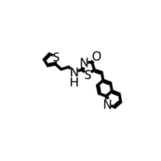 O=C1N=C(NCCc2cccs2)S/C1=C\c1ccc2ncccc2c1